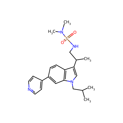 CC(C)Cn1cc(C(C)CNS(=O)(=O)N(C)C)c2ccc(-c3ccncc3)cc21